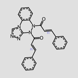 O=C(/C=C/c1ccccc1)N1c2ccccc2-n2cnnc2N1C(=O)/C=C/c1ccccc1